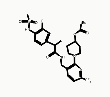 CC(C(=O)NCc1ccc(C(F)(F)F)nc1N1CCC(OC(=O)C(C)(C)C)CC1)c1ccc(NS(C)(=O)=O)c(F)c1